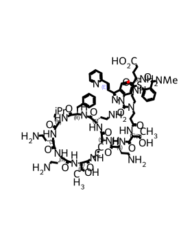 CNC(=O)c1ccccc1Sc1ccc2c(/C=C/c3ccccn3)nn(C(=O)N(CCNC(=O)[C@@H](N)CCC(=O)O)CCC(=O)N[C@H](C(=O)N[C@@H](CCN)C(=O)N[C@H]3CCNC(=O)[C@H]([C@@H](C)O)NC(=O)[C@H](CCN)NC(=O)[C@H](CCN)NC(=O)[C@H](CC(C)C)NC(=O)[C@@H](Cc4ccccc4)NC(=O)[C@H](CCN)NC3=O)[C@@H](C)O)c2c1